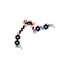 CCN(CCOC(=O)C(C)(C)CC(C)(CC)C(=O)OCCCCCCOc1ccc(-c2ccc([N+](=O)[O-])cc2)cc1)c1ccc(/N=N/c2ccc([N+](=O)[O-])cc2)cc1